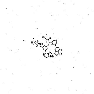 CC(C)CC(=O)Nc1cncc(-c2cc(F)c3[nH]nc(-c4nc5c(-c6cc(F)cc(CNS(C)(=O)=O)c6)nccc5[nH]4)c3c2)c1